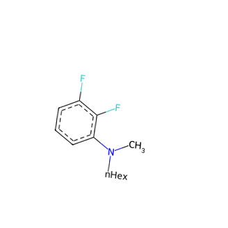 CCCCCCN(C)c1cccc(F)c1F